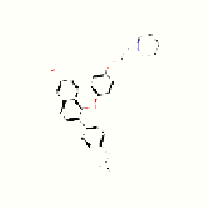 COc1ccc2c(Oc3ccc(OCCN4CCCCC4)cc3)c(-c3ccc(SC(C)C)cc3)ccc2c1